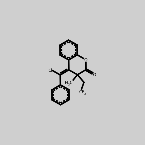 CC1(CC(F)(F)F)C(=O)Oc2ccccc2C1=C(Cl)c1ccccc1